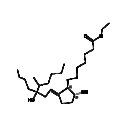 CCCCC(C)C(O)(CC=C1CC[C@@H](O)[C@@H]1CCCCCCC(=O)OCC)CCCC